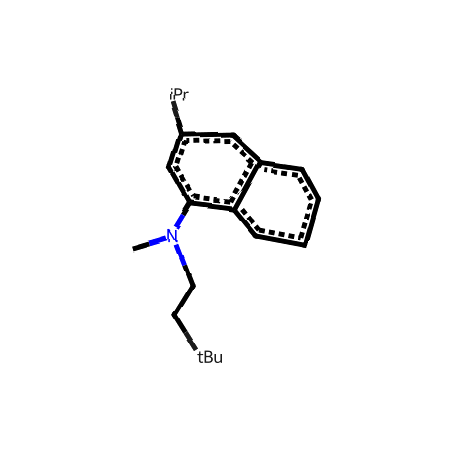 CC(C)c1cc(N(C)CCC(C)(C)C)c2ccccc2c1